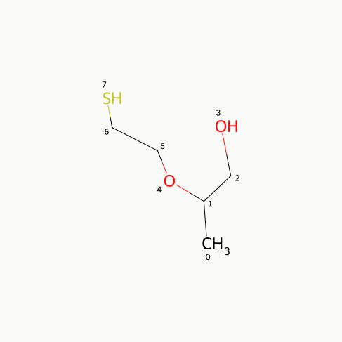 CC(CO)OCCS